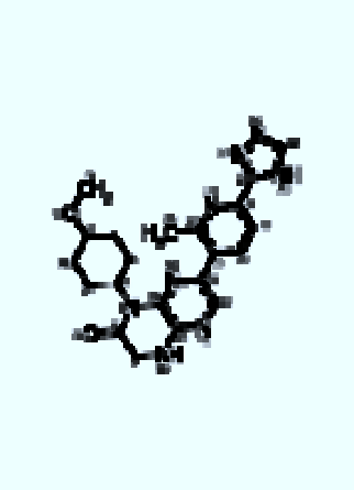 COC1CCC(N2C(=O)CNc3ncc(-c4ccc(-c5nnc[nH]5)nc4C)nc32)CC1